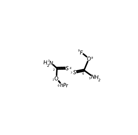 CCCOC(N)=S.NC(=S)OF